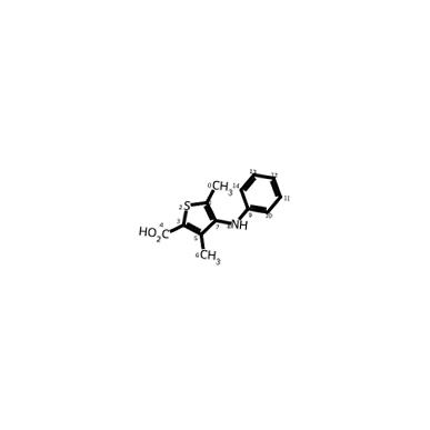 Cc1sc(C(=O)O)c(C)c1Nc1ccccc1